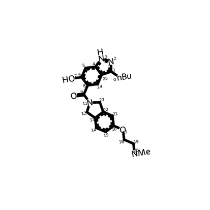 CCCCc1n[nH]c2cc(O)c(C(=O)N3Cc4ccc(OCCNC)cc4C3)cc12